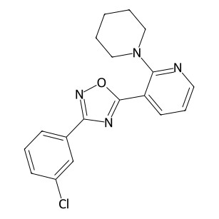 Clc1cccc(-c2noc(-c3cccnc3N3CCCCC3)n2)c1